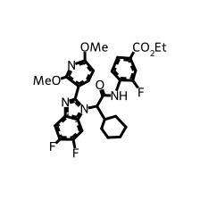 CCOC(=O)c1ccc(NC(=O)C(C2CCCCC2)n2c(-c3ccc(OC)nc3OC)nc3cc(F)c(F)cc32)c(F)c1